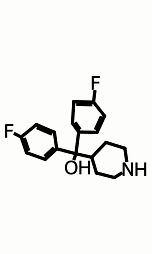 OC(c1ccc(F)cc1)(c1ccc(F)cc1)C1CCNCC1